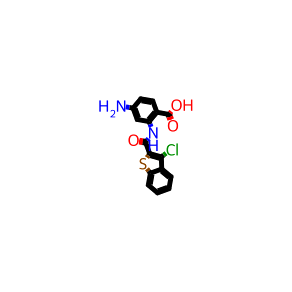 Nc1ccc(C(=O)O)c(NC(=O)c2sc3ccccc3c2Cl)c1